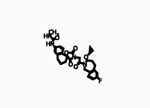 CNC(=O)Nc1ccc2c(c1)CCCC21OC(=O)N(CC(=O)N2Cc3ccc(F)cc3CCC2OC2CC2)C1=O